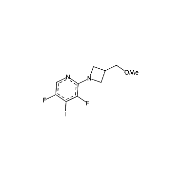 COCC1CN(c2ncc(F)c(I)c2F)C1